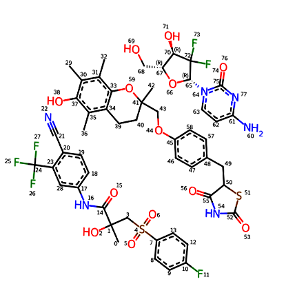 CC(O)(CS(=O)(=O)c1ccc(F)cc1)C(=O)Nc1ccc(C#N)c(C(F)(F)F)c1.Cc1c(C)c2c(c(C)c1O)CCC(C)(COc1ccc(CC3SC(=O)NC3=O)cc1)O2.Nc1ccn([C@@H]2O[C@H](CO)[C@@H](O)C2(F)F)c(=O)n1